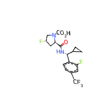 O=C(N[C@@H](c1ccc(C(F)(F)F)cc1F)C1CC1)[C@H]1C[C@H](F)CN1C(=O)O